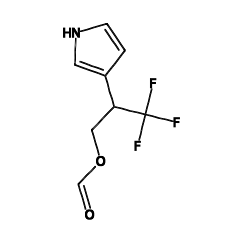 O=COCC(c1cc[nH]c1)C(F)(F)F